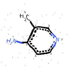 [CH2]c1cnccc1N